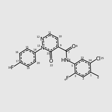 Cc1cc(F)c(NC(=O)c2ccnn(-c3ccc(F)cc3)c2=O)cc1Cl